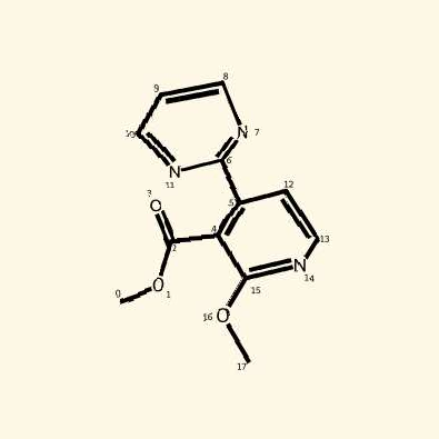 COC(=O)c1c(-c2ncccn2)ccnc1OC